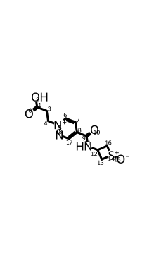 O=C(O)CC[n+]1ccc(C(=O)NC2C[S+]([O-])C2)cn1